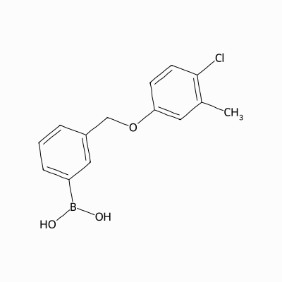 Cc1cc(OCc2cccc(B(O)O)c2)ccc1Cl